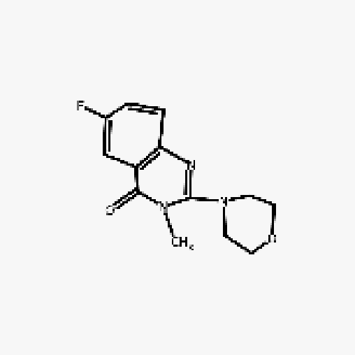 Cn1c(N2CCOCC2)nc2ccc(F)cc2c1=O